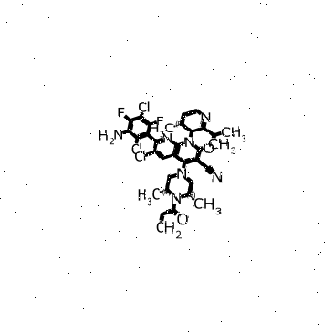 C=CC(=O)N1[C@H](C)CN(c2c(C#N)c(=O)n(C3C(C(C)C)=NC=C[C@H]3C)c3nc(-c4c(F)c(Cl)c(F)c(N)c4Cl)c(Cl)cc23)C[C@@H]1C